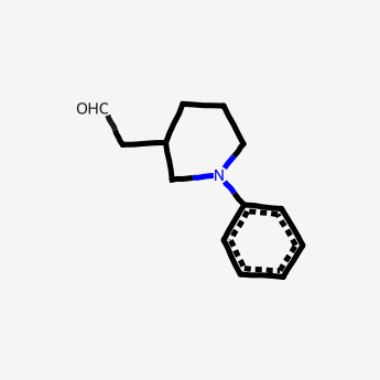 O=CCC1CCCN(c2ccccc2)C1